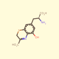 N[C@@H](Cc1cc(O)c2c(c1)SCC(C(=O)O)=N2)C(=O)O